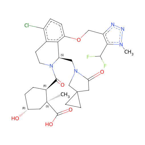 Cn1nnc(COc2ccc(Cl)c3c2[C@@H](CN2CC4(CC4)CC2=O)N(C(=O)[C@@H]2CC[C@@H](O)C[C@]2(C)C(=O)O)CC3)c1C(F)F